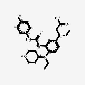 CC[C@@H](CC(=O)O)c1ccc(N(CC)C2CCOCC2)c(NC(=O)Nc2ccc(F)cc2)c1